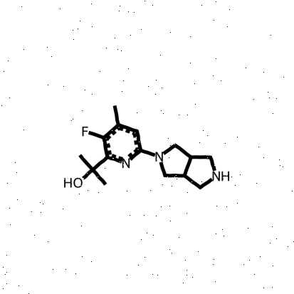 Cc1cc(N2CC3CNCC3C2)nc(C(C)(C)O)c1F